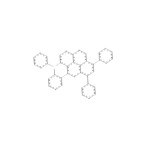 c1ccc(B2c3ccccc3-c3cc4c(-c5ccccc5)cc(-c5ccccc5)c5ccc6ccc2c3c6c54)cc1